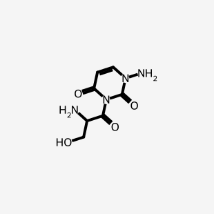 NC(CO)C(=O)n1c(=O)ccn(N)c1=O